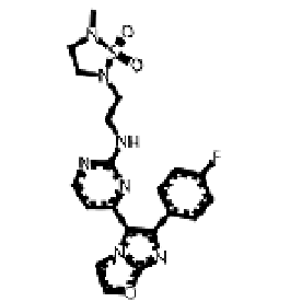 CN1CCN(CCNc2nccc(-c3c(-c4ccc(F)cc4)nc4occn34)n2)S1(=O)=O